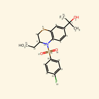 CC(O)(c1ccc2c(c1)SCC(CC(=O)O)N2S(=O)(=O)c1ccc(F)cc1)C(F)(F)F